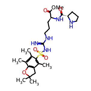 COC(=O)[C@H](CCCNC(=N)NS(=O)(=O)c1c(C)c(C)c2c(c1C)CC(C)(C)O2)NC(=O)[C@@H]1CCCN1